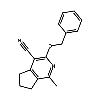 Cc1nc(OCc2ccccc2)c(C#N)c2c1CCC2